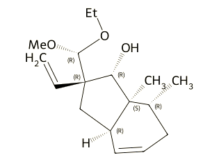 C=C[C@]1([C@H](OC)OCC)C[C@@H]2C=CC[C@@H](C)[C@]2(C)[C@H]1O